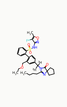 [2H]C([2H])(c1ccc(-c2ccccc2S(=O)(=O)Nc2noc(C)c2F)c(COCC)c1)N1C(=O)C2(CCCC2)N=C1CCCC